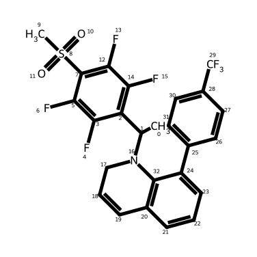 CC(c1c(F)c(F)c(S(C)(=O)=O)c(F)c1F)N1CC=Cc2cccc(-c3ccc(C(F)(F)F)cc3)c21